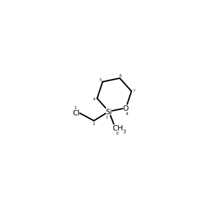 C[Si]1(CCl)CCCCO1